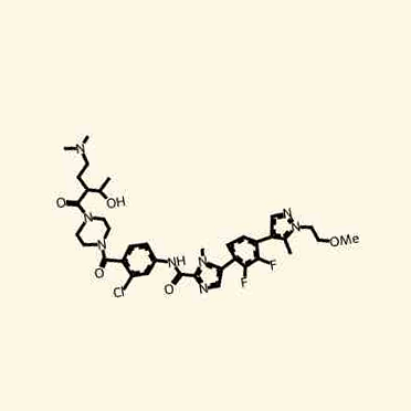 COCCn1ncc(-c2ccc(-c3cnc(C(=O)Nc4ccc(C(=O)N5CCN(C(=O)C(CCN(C)C)C(C)O)CC5)c(Cl)c4)n3C)c(F)c2F)c1C